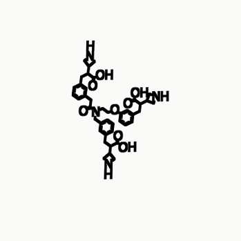 O=C(O)C(Cc1cccc(CC(=O)N(CCOc2cccc(CC(C(=O)O)C3CNC3)c2)Cc2cccc(CC(C(=O)O)C3CNC3)c2)c1)C1CNC1